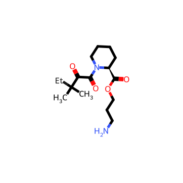 CCC(C)(C)C(=O)C(=O)N1CCCC[C@H]1C(=O)OCCCN